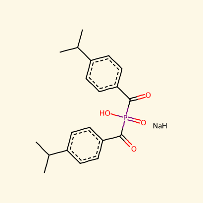 CC(C)c1ccc(C(=O)P(=O)(O)C(=O)c2ccc(C(C)C)cc2)cc1.[NaH]